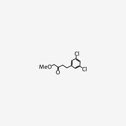 COCC(=O)CCc1cc(Cl)cc(Cl)c1